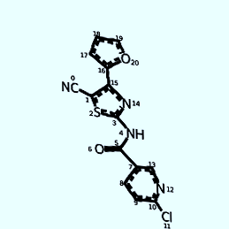 N#Cc1sc(NC(=O)c2ccc(Cl)nc2)nc1-c1ccco1